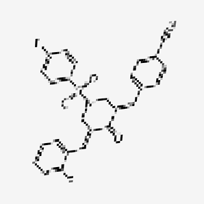 N#Cc1ccc(C=C2CN(S(=O)(=O)c3ccc(F)cc3)CC(=Cc3ccccc3F)C2=O)cc1